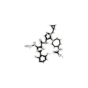 O=C(O)Nc1sc(-c2c(F)cccc2F)nc1C(=O)Nc1cnn(CC2CC2)c1N1CCCC(NC(=O)C(F)(F)F)CC1